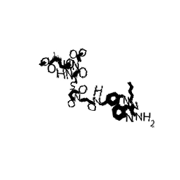 CCCCc1nc2c(N)nc3ccccc3c2n1Cc1ccc(CNC(=O)CCN2C(=O)CC(SC[C@@H](NC(=O)CC[C@@H](C)C(=O)OC)C(=O)NCC(=O)OC)C2=O)cc1